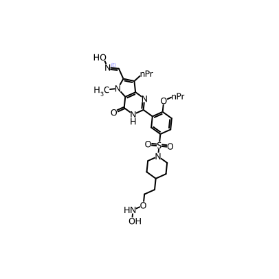 CCCOc1ccc(S(=O)(=O)N2CCC(CCONO)CC2)cc1-c1nc2c(CCC)c(/C=N/O)n(C)c2c(=O)[nH]1